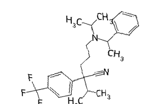 CC(C)N(CCCC(C#N)(c1ccc(C(F)(F)F)cc1)C(C)C)C(C)c1ccccc1